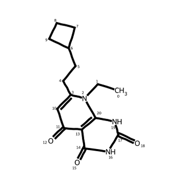 CCn1c(CCC2CCC2)cc(=O)c2c(=O)[nH]c(=O)[nH]c21